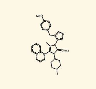 COc1ccc(Cn2cncc2N2C(=C=O)C(N3CCN(C)CC3)C(c3cccc4ccccc34)=C2C)cc1